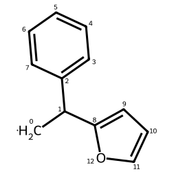 [CH2]C(c1ccccc1)c1ccco1